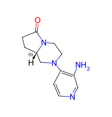 Nc1cnccc1N1CCN2C(=O)CC[C@H]2C1